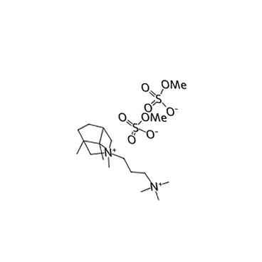 CC12CCC(C[N+](C)(CCC[N+](C)(C)C)C1)C2(C)C.COS(=O)(=O)[O-].COS(=O)(=O)[O-]